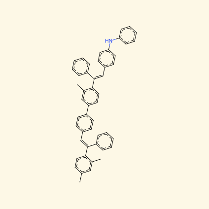 Cc1ccc(C(=Cc2ccc(-c3ccc(C(=Cc4ccc(Nc5ccccc5)cc4)c4ccccc4)c(C)c3)cc2)c2ccccc2)c(C)c1